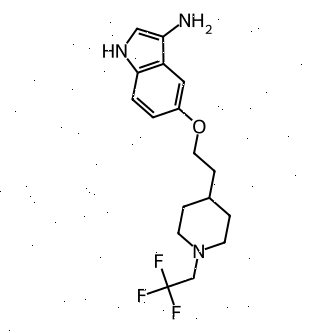 Nc1c[nH]c2ccc(OCCC3CCN(CC(F)(F)F)CC3)cc12